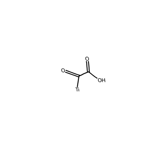 O=C(O)[C](=O)[Ti]